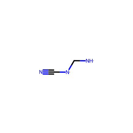 N#C[N]C[NH]